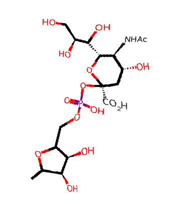 CC(=O)N[C@H]1[C@H](O)C[C@](OP(=O)(O)OCC2OC(C)[C@H](O)[C@@H]2O)(C(=O)O)O[C@@H]1C(O)[C@@H](O)CO